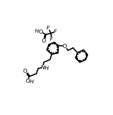 O=C(O)C(F)(F)F.O=C(O)CCNCCc1cccc(OCCc2ccccc2)c1